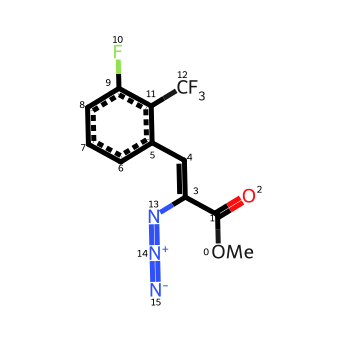 COC(=O)/C(=C/c1cccc(F)c1C(F)(F)F)N=[N+]=[N-]